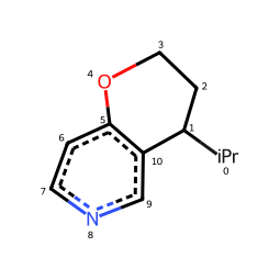 CC(C)C1CCOc2ccncc21